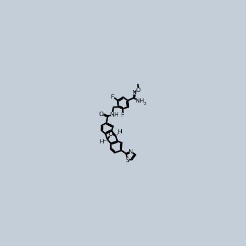 CON=C(N)c1cc(F)c(CNC(=O)c2ccc3c(c2)[C@@H]2O[C@H]3c3ccc(-c4nccs4)cc32)c(F)c1